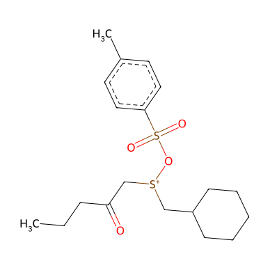 CCCC(=O)C[S+](CC1CCCCC1)OS(=O)(=O)c1ccc(C)cc1